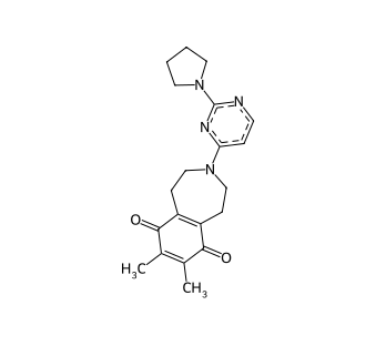 CC1=C(C)C(=O)C2=C(CCN(c3ccnc(N4CCCC4)n3)CC2)C1=O